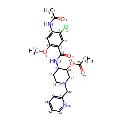 COc1cc(NC(C)=O)c(Cl)cc1C(=O)N[C@@H]1CCN(Cc2ccccn2)C[C@@H]1OC(C)=O